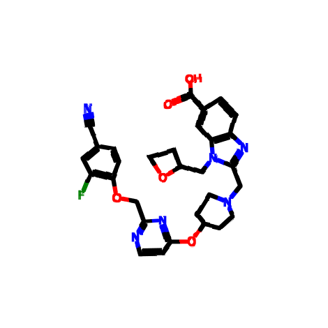 N#Cc1ccc(OCc2nccc(OC3CCN(Cc4nc5ccc(C(=O)O)cc5n4CC4CCO4)CC3)n2)c(F)c1